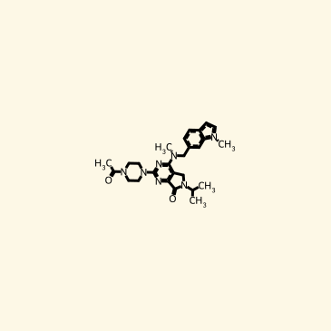 CC(=O)N1CCN(c2nc3c(c(N(C)Cc4ccc5ccn(C)c5c4)n2)CN(C(C)C)C3=O)CC1